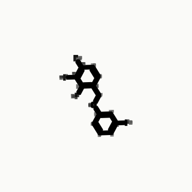 Fc1cc[c]c(OCc2ccc(F)c(F)c2F)c1